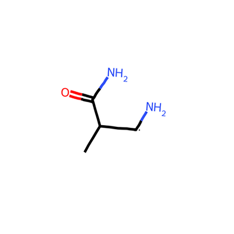 CC([CH]N)C(N)=O